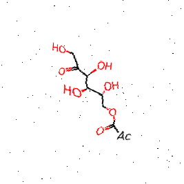 CC(=O)C(=O)OC[C@@H](O)[C@@H](O)[C@H](O)C(=O)CO